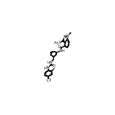 Cn1nc(N)c2c(C(=O)Nc3cccc(CNC(=O)Nc4ccc(Cl)cc4F)c3)cccc21